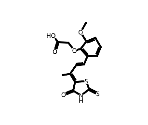 COc1cccc(C=CC(C)=C2SC(=S)NC2=O)c1OCC(=O)O